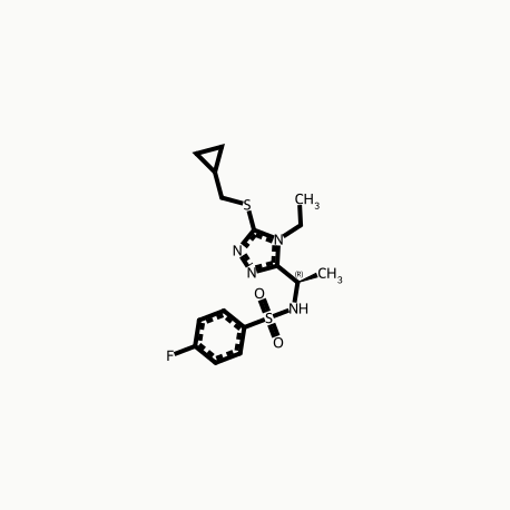 CCn1c(SCC2CC2)nnc1[C@@H](C)NS(=O)(=O)c1ccc(F)cc1